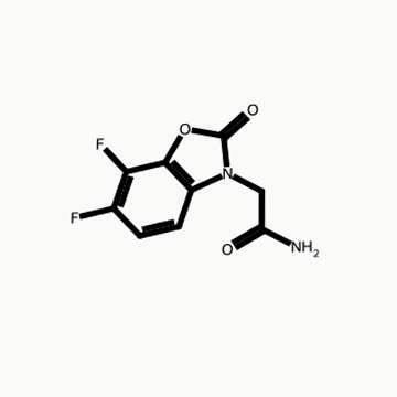 NC(=O)Cn1c(=O)oc2c(F)c(F)ccc21